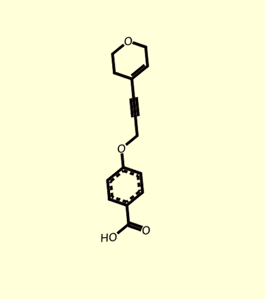 O=C(O)c1ccc(OCC#CC2=CCOCC2)cc1